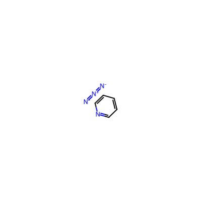 [N-]=[N+]=[N-].c1ccncc1